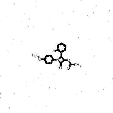 COc1ccc(N2C(=O)C(OC(C)=O)C2c2ccccc2F)cc1